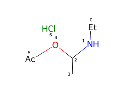 CCNC(C)OC(C)=O.Cl